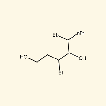 CCCC(CC)C(O)C(CC)CCO